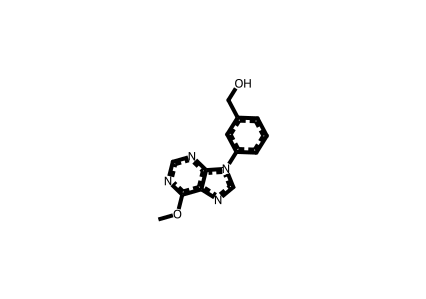 COc1ncnc2c1ncn2-c1cccc(CO)c1